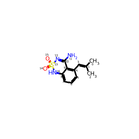 CC(C)=Cc1cccc2c1C(N)=NS(=O)(=O)N2